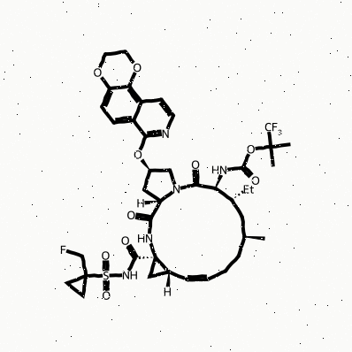 CC[C@@H]1C[C@@H](C)CC/C=C\[C@@H]2C[C@@]2(C(=O)NS(=O)(=O)C2(CF)CC2)NC(=O)[C@@H]2C[C@@H](Oc3nccc4c5c(ccc34)OCCO5)CN2C(=O)[C@H]1NC(=O)OC(C)(C)C(F)(F)F